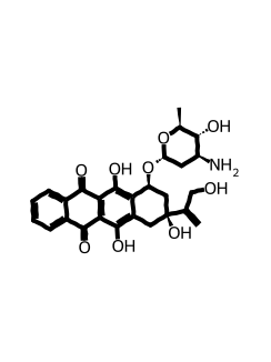 C=C(CO)[C@]1(O)Cc2c(O)c3c(c(O)c2[C@@H](O[C@H]2C[C@H](N)[C@@H](O)[C@H](C)O2)C1)C(=O)c1ccccc1C3=O